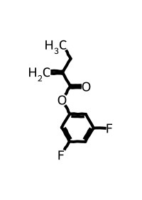 C=C(CC)C(=O)Oc1cc(F)cc(F)c1